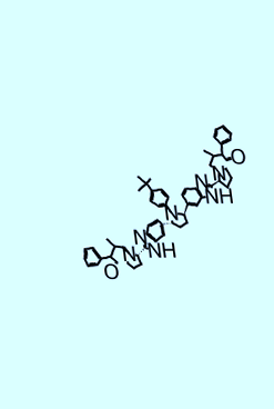 CC(CN1CCC[C@H]1c1nc2ccc([C@H]3CC[C@H](c4ccc5nc([C@@H]6CCCN6CC(C)C(C=O)c6ccccc6)[nH]c5c4)N3c3ccc(C(C)(C)C)cc3)cc2[nH]1)C(C=O)c1ccccc1